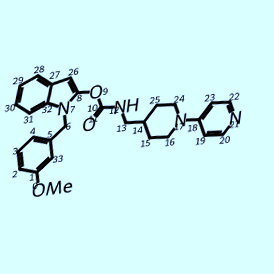 COc1cccc(Cn2c(OC(=O)NCC3CCN(c4ccncc4)CC3)cc3ccccc32)c1